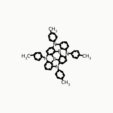 Cc1ccc(N2c3cccc4c3B3c5c2ccc2c5B5c6c(cccc6N(c6ccc(C)cc6)c6ccc(c3c65)N4c3ccc(C)cc3)N2c2ccc(C)cc2)cc1